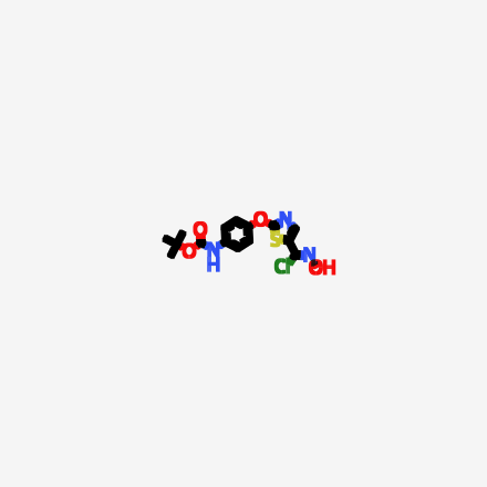 CC(C)(C)OC(=O)Nc1ccc(Oc2ncc(/C(Cl)=N/O)s2)cc1